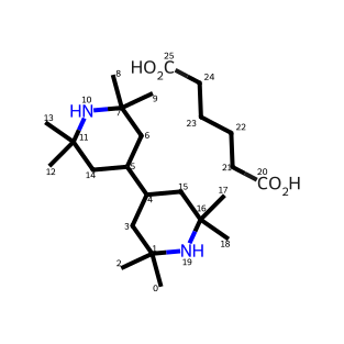 CC1(C)CC(C2CC(C)(C)NC(C)(C)C2)CC(C)(C)N1.O=C(O)CCCCC(=O)O